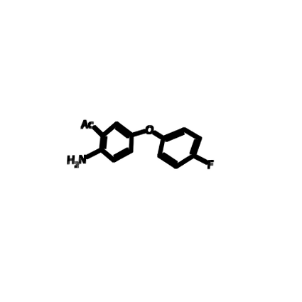 CC(=O)c1cc(Oc2ccc(F)cc2)ccc1N